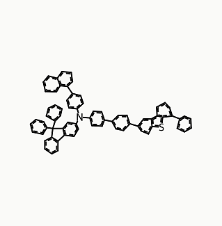 c1ccc(-c2cccc3c2sc2ccc(-c4ccc(-c5ccc(N(c6ccc(-c7cccc8ccccc78)cc6)c6ccc7c(c6)C(c6ccccc6)(c6ccccc6)c6ccccc6-7)cc5)cc4)cc23)cc1